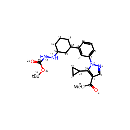 COC(=O)c1cnn(-c2cccc(C3CCCC(NNC(=O)OC(C)(C)C)C3)c2)c1C1CC1